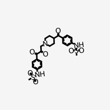 CS(=O)(=O)Nc1ccc(C(=O)C(=O)CN2CCC(C(=O)c3ccc(NS(C)(=O)=O)cc3)CC2)cc1